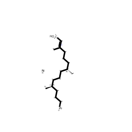 C/C(=C\C(=O)O)CCC[C@H](C)CCC[C@H](C)CCCC(C)C.[Ni]